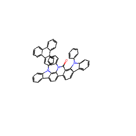 O=c1c2c(ccc3c4ccccc4n(-c4ccccc4)c32)c2ccc3c4ccccc4n(-c4ccc5c6ccccc6c6ccccc6c5c4)c3c2n1-c1ccccc1